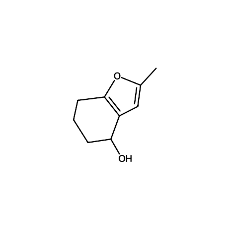 Cc1cc2c(o1)CCCC2O